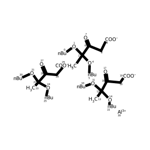 CCCCOC(C)(OCCCC)C(=O)CC(=O)[O-].CCCCOC(C)(OCCCC)C(=O)CC(=O)[O-].CCCCOC(C)(OCCCC)C(=O)CC(=O)[O-].[Al+3]